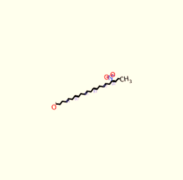 CC/C=C(/C/C=C/C/C=C/C/C=C/C/C=C/C/C=C/CC[C]=O)[N+](=O)[O-]